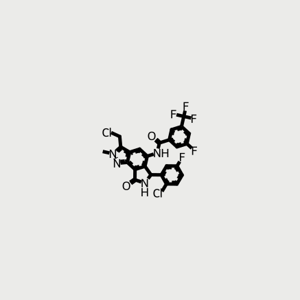 Cn1nc2c3c(c(NC(=O)c4cc(F)cc(C(F)(F)F)c4)cc2c1CCl)C(c1cc(F)ccc1Cl)NC3=O